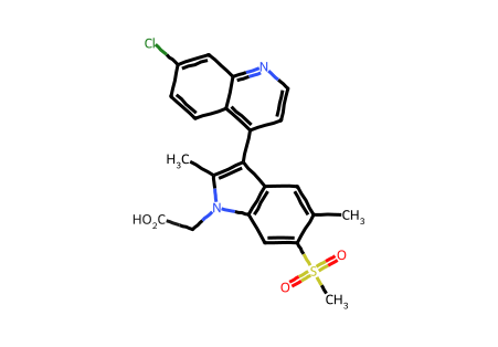 Cc1cc2c(-c3ccnc4cc(Cl)ccc34)c(C)n(CC(=O)O)c2cc1S(C)(=O)=O